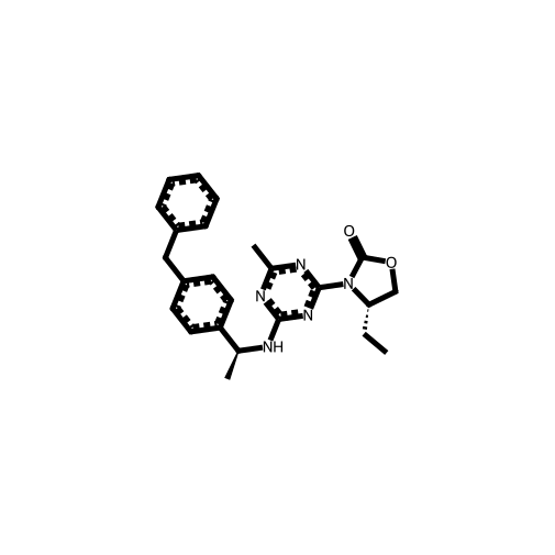 CC[C@H]1COC(=O)N1c1nc(C)nc(N[C@@H](C)c2ccc(Cc3ccccc3)cc2)n1